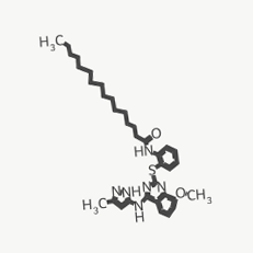 CCCCCCCCCCCCCCCC(=O)Nc1ccccc1Sc1nc(Nc2cc(C)n[nH]2)c2cccc(OC)c2n1